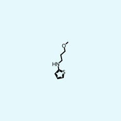 COCCCNc1cccs1